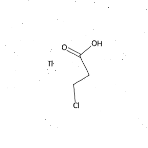 O=C(O)CCCl.[Tl]